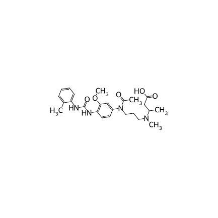 COc1cc(N(CCCN(C)C(C)CC(=O)O)C(C)=O)ccc1NC(=O)Nc1ccccc1C